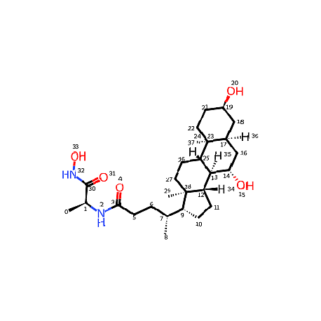 C[C@H](NC(=O)CC[C@@H](C)[C@H]1CC[C@H]2[C@@H]3[C@@H](O)C[C@@H]4C[C@H](O)CC[C@]4(C)[C@H]3CC[C@]12C)C(=O)NO